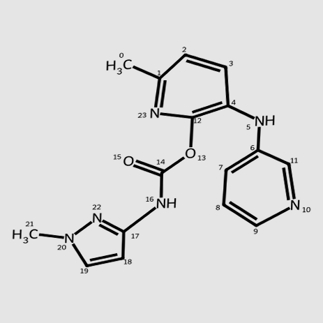 Cc1ccc(Nc2cccnc2)c(OC(=O)Nc2ccn(C)n2)n1